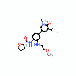 Cc1cc(-c2ccc(NC(=O)[C@@H]3CCCO3)c(NCCOC(F)(F)F)c2)cn(C)c1=O